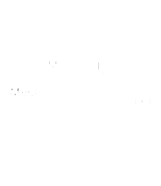 [CH2]c1c(CO)cccc1C(=O)OC